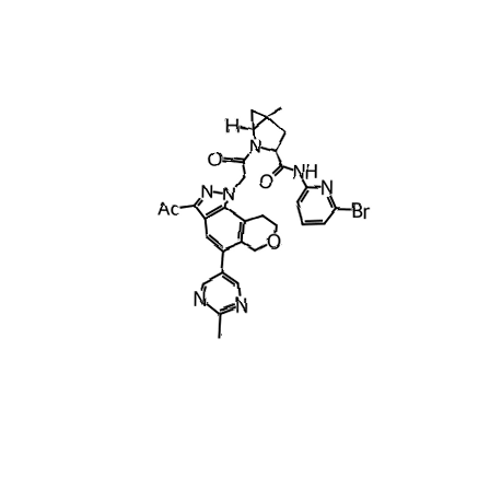 CC(=O)c1nn(CC(=O)N2[C@H](C(=O)Nc3cccc(Br)n3)C[C@@]3(C)C[C@@H]23)c2c3c(c(-c4cnc(C)nc4)cc12)COCC3